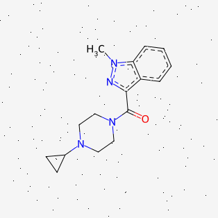 Cn1nc(C(=O)N2CCN(C3CC3)CC2)c2ccccc21